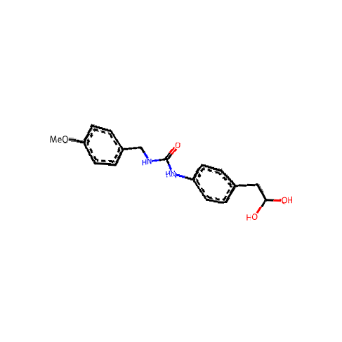 COc1ccc(CNC(=O)Nc2ccc(CC(O)O)cc2)cc1